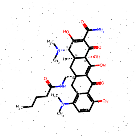 CCCCC(=O)NC[C@@]12Cc3c(N(C)C)ccc(O)c3C(=O)C1=C(O)[C@]1(O)C(=O)C(C(N)=O)=C(O)[C@@H](N(C)C)[C@@H]1C2